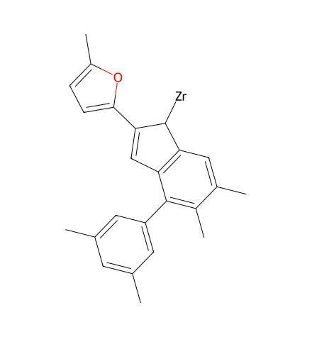 Cc1cc(C)cc(-c2c(C)c(C)cc3c2C=C(c2ccc(C)o2)[CH]3[Zr])c1